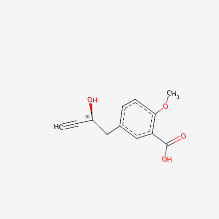 C#C[C@@H](O)Cc1ccc(OC)c(C(=O)O)c1